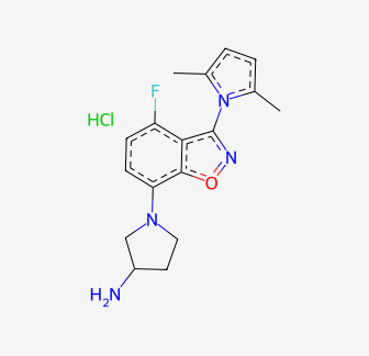 Cc1ccc(C)n1-c1noc2c(N3CCC(N)C3)ccc(F)c12.Cl